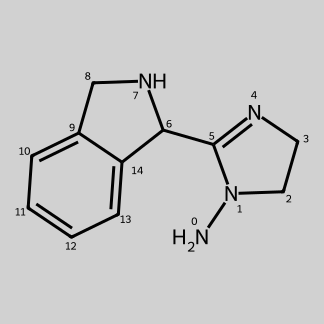 NN1CCN=C1C1NCc2ccccc21